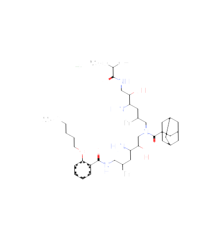 COCCCCOc1ccccc1C(=O)NCC(CC(N)C(O)CN(CC(CC(N)C(O)CNC(=O)C(C)OC)C(C)C)C(=O)C12CC3CC(CC(C3)C1)C2)C(C)C.Cl